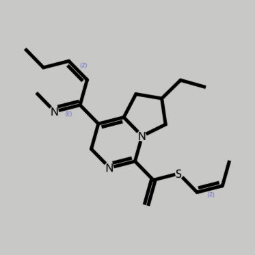 C=C(S/C=C\C)C1=NCC(C(/C=C\CC)=N/C)=C2CC(CC)CN12